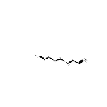 C=CC[Se][CH][Se]CC=C